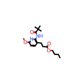 CCCCOC(=O)CCc1ccc(OC)nc1NC(=O)C(C)(C)C